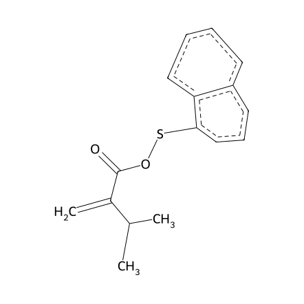 C=C(C(=O)OSc1cccc2ccccc12)C(C)C